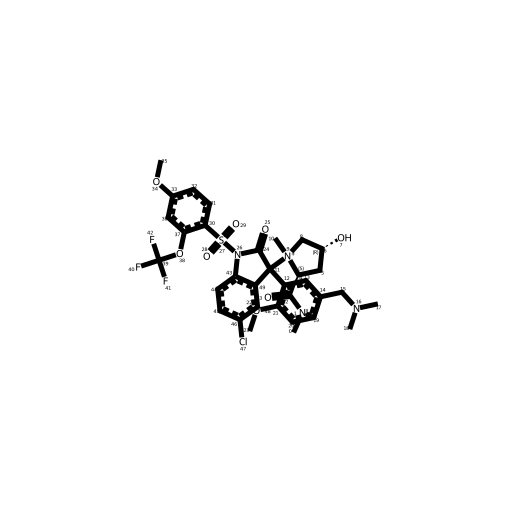 CNC(=O)[C@@H]1C[C@@H](O)C[N+]1(C)C1(c2cc(CN(C)C)ccc2OC)C(=O)N(S(=O)(=O)c2ccc(OC)cc2OC(F)(F)F)c2ccc(Cl)cc21